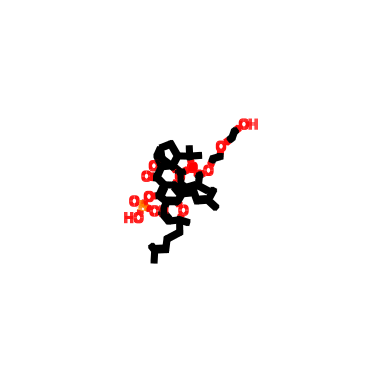 CC(C)=CCCC1(C)C=Cc2c(c(CC=C(C)C)c3c(c2OP(=O)(O)O)C(=O)C2=CC4CC5C(C)(C)OC(C/C=C(/C)C(=O)OCCOCCO)(C4=O)C25O3)O1